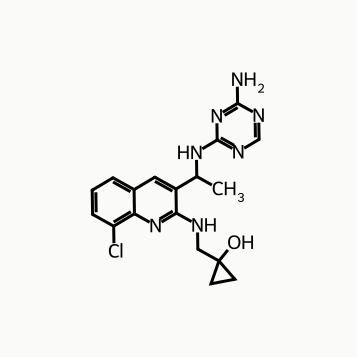 CC(Nc1ncnc(N)n1)c1cc2cccc(Cl)c2nc1NCC1(O)CC1